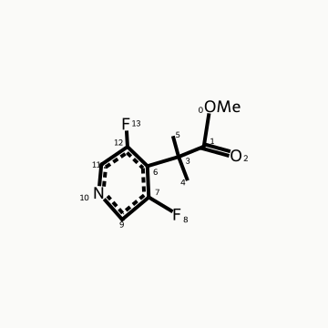 COC(=O)C(C)(C)c1c(F)cncc1F